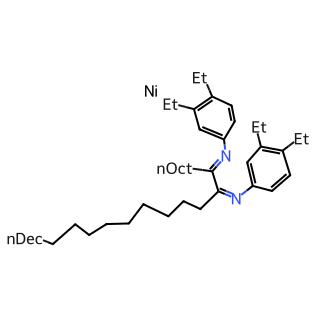 CCCCCCCCCCCCCCCCCCCC(=Nc1ccc(CC)c(CC)c1)C(CCCCCCCC)=Nc1ccc(CC)c(CC)c1.[Ni]